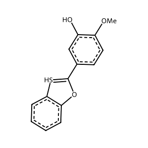 COc1ccc(C2=[SH]c3ccccc3O2)cc1O